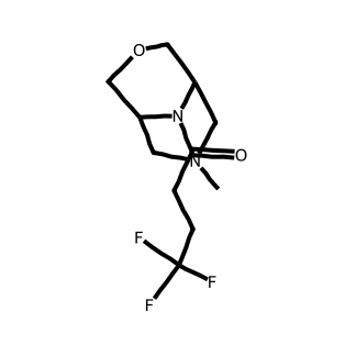 CN1CC2COCC(C1)N2C(=O)CCC(F)(F)F